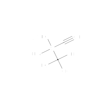 C#C[Si](C)([SiH3])C(C)(C)C.O